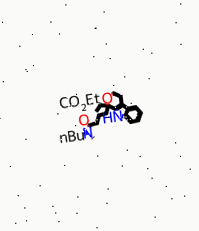 CCCCN(C)C(=O)CCCC1(C(C)C(=O)OCC)OCCc2c1[nH]c1ccccc21